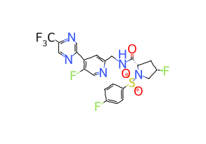 O=C(NCc1cc(-c2cnc(C(F)(F)F)cn2)c(F)cn1)[C@@H]1C[C@@H](F)CN1S(=O)(=O)c1ccc(F)cc1